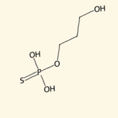 OCCCOP(O)(O)=S